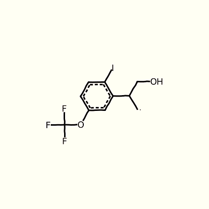 [CH2]C(CO)c1cc(OC(F)(F)F)ccc1I